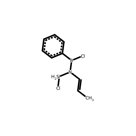 CC=CN([SiH2]Cl)B(Cl)c1ccccc1